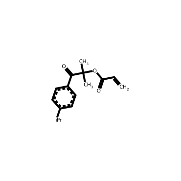 C=CC(=O)OC(C)(C)C(=O)c1ccc(C(C)C)cc1